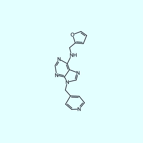 c1coc(CNc2ncnc3c2ncn3Cc2ccncc2)c1